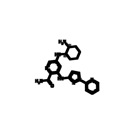 NC(=O)c1ncc(N[C@@H]2CCCC[C@@H]2N)cc1Nc1ccn(-c2ccccn2)n1